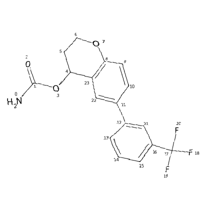 NC(=O)OC1CCOc2ccc(-c3cccc(C(F)(F)F)c3)cc21